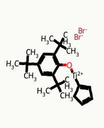 CC(C)(C)c1cc(C(C)(C)C)c([O][Ti+2][C]2=CC=CC2)c(C(C)(C)C)c1.[Br-].[Br-]